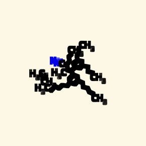 CCCCCCc1cc(CCCCCC)cc(C(=C(C)C(=C=[N+]=[N-])CCCC)c2cc(CCCC)cc(CCCC)c2)c1.[CH3][Ni][CH3]